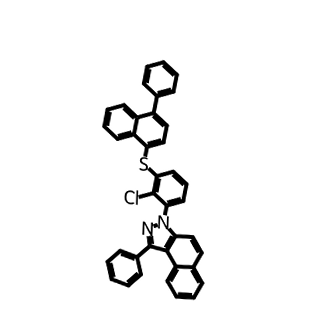 Clc1c(Sc2ccc(-c3ccccc3)c3ccccc23)cccc1-n1nc(-c2ccccc2)c2c3ccccc3ccc21